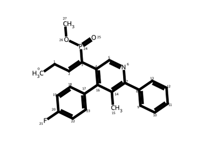 CCC=C(c1cnc(-c2ccccc2)c(C)c1-c1ccc(F)cc1)[P](=O)OC